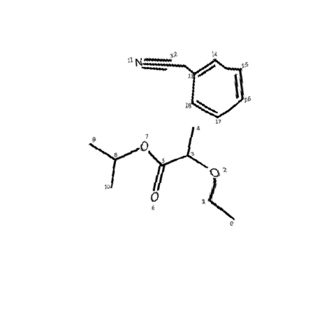 CCOC(C)C(=O)OC(C)C.N#Cc1ccccc1